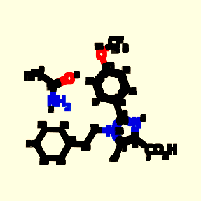 CCCC(N)=O.Cc1c(C(=O)O)nc(-c2ccc(OC(F)(F)F)cc2)n1CCC1CCCCC1